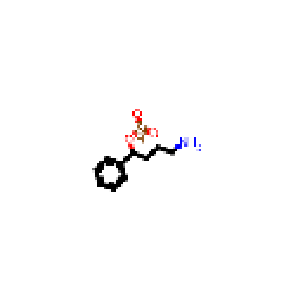 NCCCC(O[SH](=O)=O)c1ccccc1